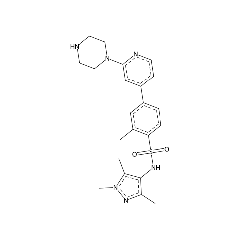 Cc1cc(-c2ccnc(N3CCNCC3)c2)ccc1S(=O)(=O)Nc1c(C)nn(C)c1C